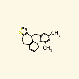 Cc1cc(C)cc(CC2C3=C(C=CCC3)CCc3sccc32)c1